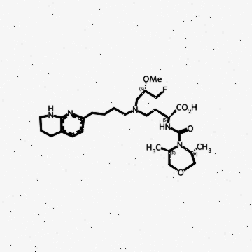 CO[C@H](CF)CN(CCCCc1ccc2c(n1)NCCC2)CC[C@H](NC(=O)N1[C@H](C)COC[C@H]1C)C(=O)O